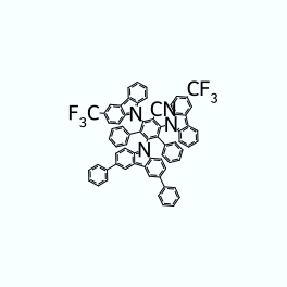 N#Cc1c(-n2c3ccccc3c3cc(C(F)(F)F)ccc32)c(-c2ccccc2)c(-n2c3ccc(-c4ccccc4)cc3c3cc(-c4ccccc4)ccc32)c(-c2ccccc2)c1-n1c2ccccc2c2cc(C(F)(F)F)ccc21